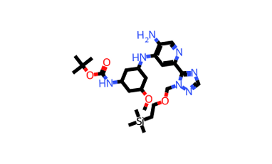 COC1CC(NC(=O)OC(C)(C)C)CC(Nc2cc(-c3ncnn3COCC[Si](C)(C)C)ncc2N)C1